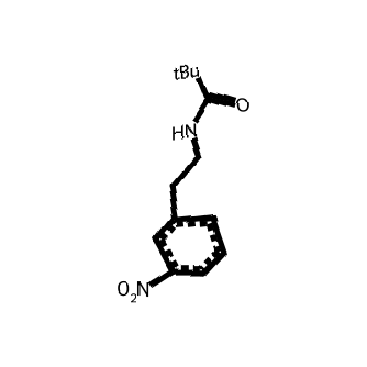 CC(C)(C)C(=O)NCCc1cccc([N+](=O)[O-])c1